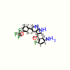 Nc1ccc(F)c(C(=O)c2c[nH]c3ncc(-c4cccc(OC(F)(F)F)c4)cc23)c1